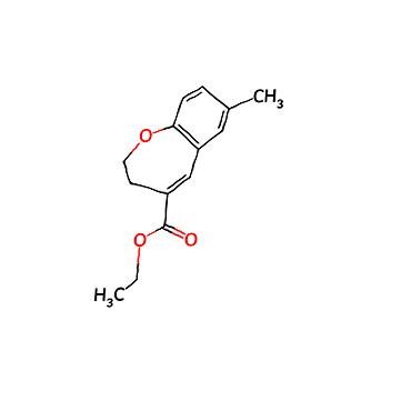 CCOC(=O)C1=Cc2cc(C)ccc2OCC1